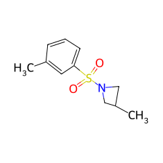 Cc1cccc(S(=O)(=O)N2CC(C)C2)c1